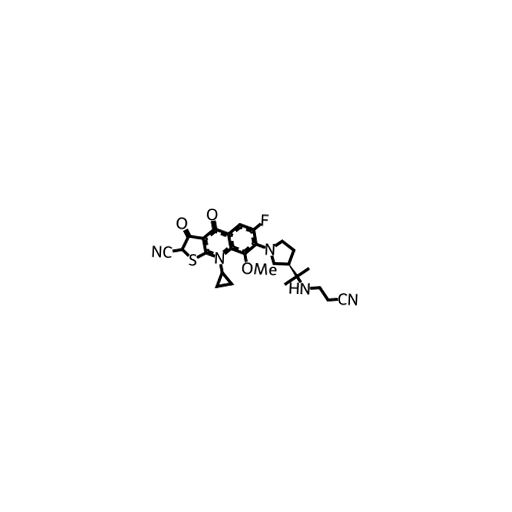 COc1c(N2CC[C@@H](C(C)(C)NCCC#N)C2)c(F)cc2c(=O)c3c(n(C4CC4)c12)SC(C#N)C3=O